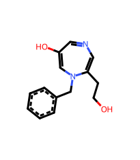 OCCC1=CN=CC(O)=CN1Cc1ccccc1